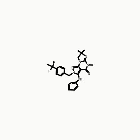 CN1C(=S)c2c(nn(Cc3ccc(C(C)(F)F)cc3)c2Nc2ccccc2)N2CC(C)(C)N=C12